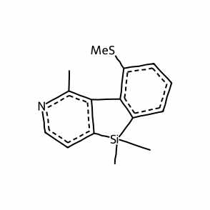 CSc1cccc2c1-c1c(ccnc1C)[Si]2(C)C